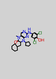 CN1C(=O)C(CC2CCCCC2)N(C2CCCC2)c2nc(Nc3cc(Cl)c(O)c(Cl)c3)ncc21